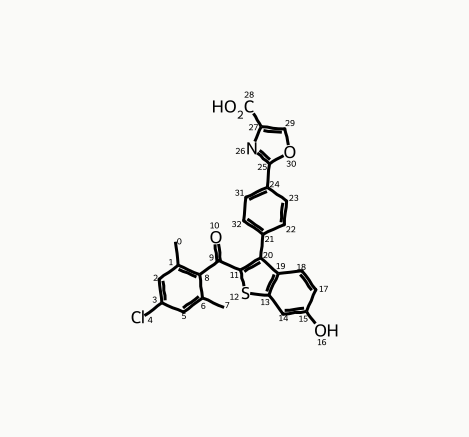 Cc1cc(Cl)cc(C)c1C(=O)c1sc2cc(O)ccc2c1-c1ccc(-c2nc(C(=O)O)co2)cc1